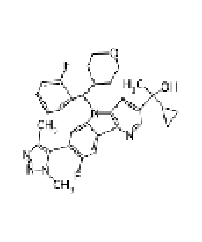 Cc1nnn(C)c1-c1cc2c(cc1F)c1ncc(C(C)(O)C3CC3)cc1n2C(c1ccccc1F)C1CCOCC1